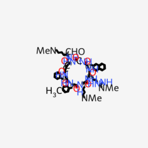 CNCCCC[C@@H](C=O)NC(=O)[C@H]1CCC(=O)N[C@@H](Cc2ccccc2)C(=O)N[C@@H](Cc2ccc(C)cc2)C(=O)N[C@@H](CCCCNC)C(=O)N[C@H](CCCNC(=N)NC)C(=O)N[C@@H](Cc2ccc3ccccc3c2)C(=O)NCC(=O)N1